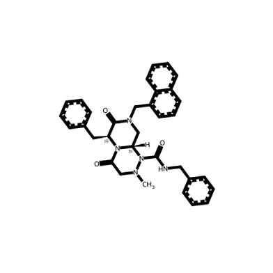 CN1CC(=O)N2[C@@H](Cc3ccccc3)C(=O)N(Cc3cccc4ccccc34)C[C@@H]2N1C(=O)NCc1ccccc1